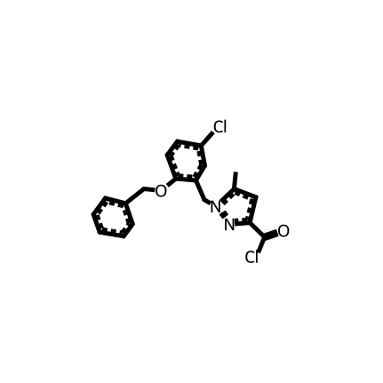 Cc1cc(C(=O)Cl)nn1Cc1cc(Cl)ccc1OCc1ccccc1